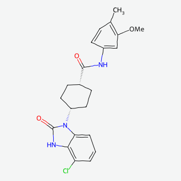 COc1cc(NC(=O)[C@H]2CC[C@@H](n3c(=O)[nH]c4c(Cl)cccc43)CC2)ccc1C